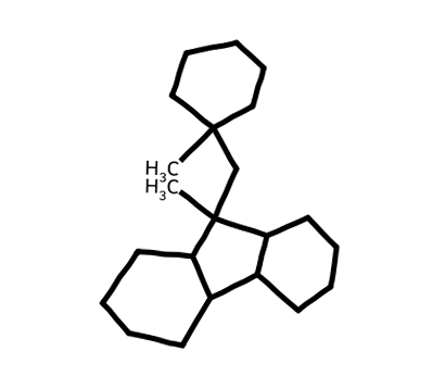 CC1(CC2(C)C3CCCCC3C3CCCCC32)CCCCC1